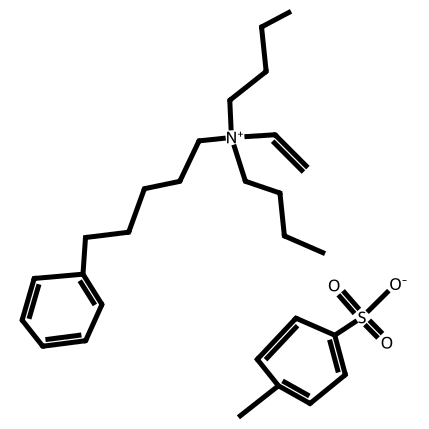 C=C[N+](CCCC)(CCCC)CCCCCc1ccccc1.Cc1ccc(S(=O)(=O)[O-])cc1